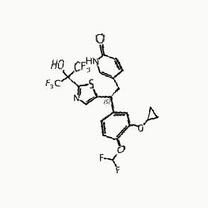 O=c1ccc(C[C@@H](c2ccc(OC(F)F)c(OC3CC3)c2)c2cnc(C(O)(C(F)(F)F)C(F)(F)F)s2)c[nH]1